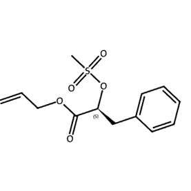 C=CCOC(=O)[C@H](Cc1ccccc1)OS(C)(=O)=O